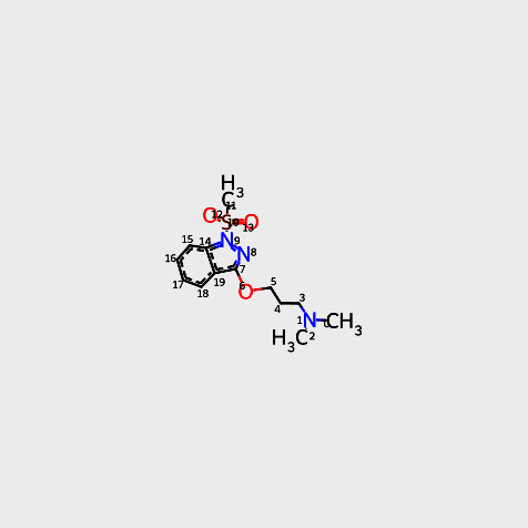 CN(C)CCCOc1nn(S(C)(=O)=O)c2ccccc12